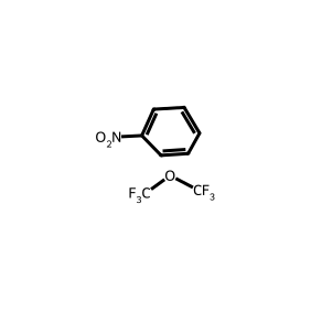 FC(F)(F)OC(F)(F)F.O=[N+]([O-])c1ccccc1